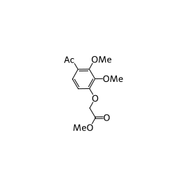 COC(=O)COc1ccc(C(C)=O)c(OC)c1OC